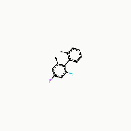 Cc1ccccc1-c1c(C)cc(I)cc1F